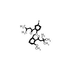 COc1cccc(COc2ccc(F)cc2C(=O)CC(C)C)c1C(=O)CC(C)(C)C